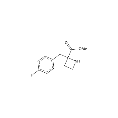 COC(=O)C1(Cc2ccc(F)cc2)CCN1